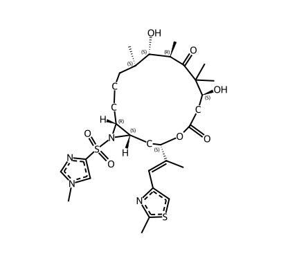 CC(=Cc1csc(C)n1)[C@@H]1C[C@H]2[C@@H](CCC[C@H](C)[C@H](O)[C@@H](C)C(=O)C(C)(C)[C@@H](O)CC(=O)O1)N2S(=O)(=O)c1cn(C)cn1